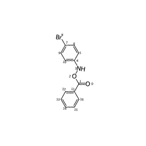 O=C(ONc1ccc(Br)cc1)c1ccccc1